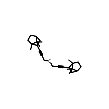 CC1(C)C2CCC1(C)C(C#CCOCC#CC1CC3CCC1(C)C3(C)C)C2